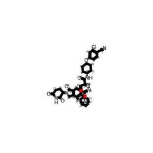 N#Cc1ccc(O[C@H]2CC[C@H](NC(=O)c3ccc(N4CC5CC(C4)N5Cc4ccc5c(c4F)CN(C4CCC(=O)NC4=O)C5=O)nn3)CC2)cc1Cl